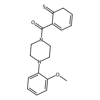 COc1ccccc1N1CCN(C(=O)C2=CC=CCC2=S)CC1